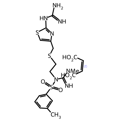 CNC(=N)N(CCSCc1csc(NC(=N)N)n1)S(=O)(=O)c1cccc(C)c1.O=C(O)/C=C\C(=O)O